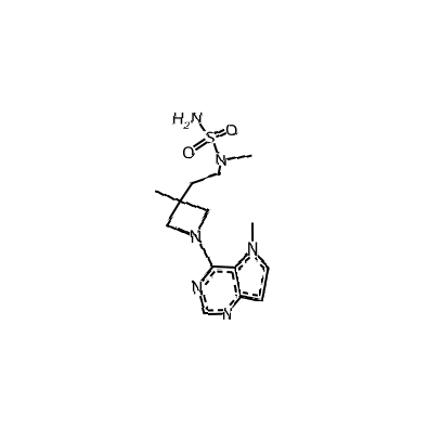 CN(CCC1(C)CN(c2ncnc3ccn(C)c23)C1)S(N)(=O)=O